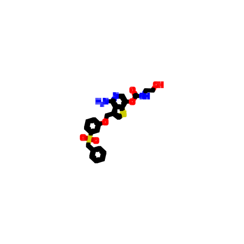 Nc1ncc(OC(=O)NCCO)c2scc(COc3cccc(S(=O)(=O)Cc4ccccc4)c3)c12